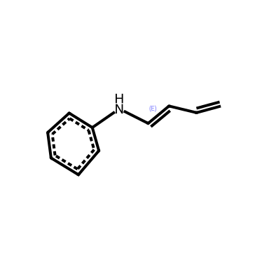 C=C/C=C/Nc1ccccc1